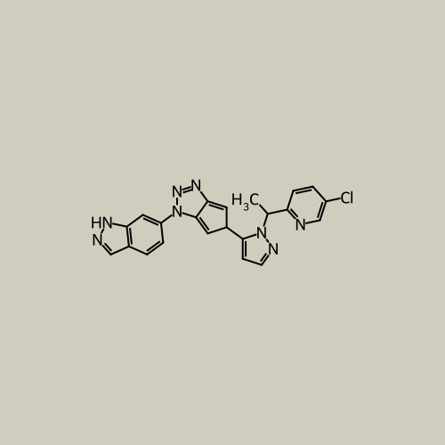 CC(c1ccc(Cl)cn1)n1nccc1C1C=c2nnn(-c3ccc4cn[nH]c4c3)c2=C1